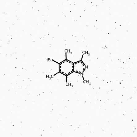 Cc1c(C(C)(C)C)c(C)c2c(C)nn(C)c2c1C